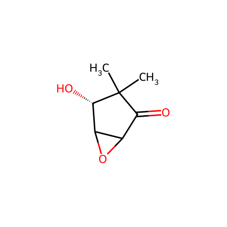 CC1(C)C(=O)C2OC2[C@@H]1O